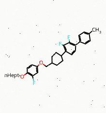 CCCCCCCOc1ccc(OCC2CCC(c3ccc(-c4ccc(C)cc4)c(F)c3F)CC2)cc1F